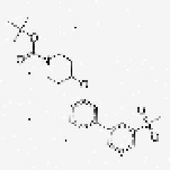 CC(C)(C)OC(=O)N1CCC(Oc2cccc(-c3cccc(S(C)(=O)=O)c3)c2)CC1